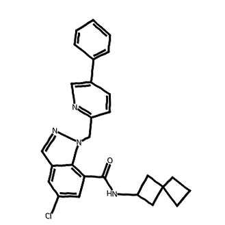 O=C(NC1CC2(CCC2)C1)c1cc(Cl)cc2cnn(Cc3ccc(-c4ccccc4)cn3)c12